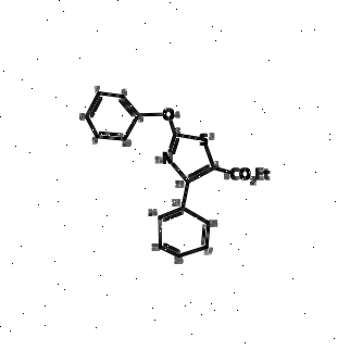 CCOC(=O)c1sc(Oc2ccccc2)nc1-c1ccccc1